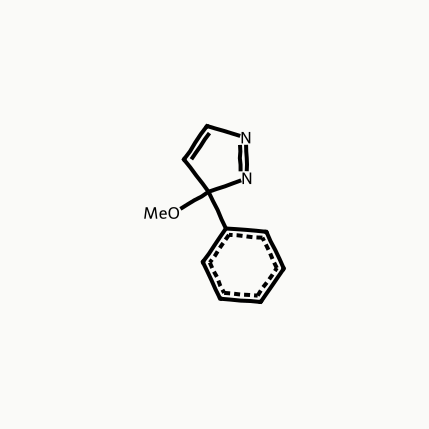 COC1(c2ccccc2)C=CN=N1